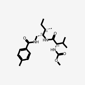 CC[C@H](C)[C@@H](CNC(=O)c1ccc(C)cc1)NC(=O)[C@@H](NC(=O)OC)C(C)C